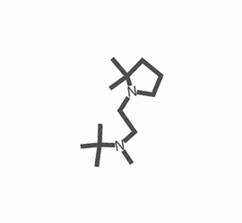 CN(CCN1CCCC1(C)C)C(C)(C)C